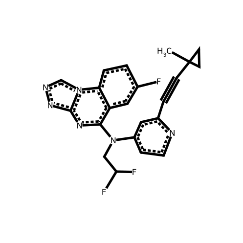 CC1(C#Cc2cc(N(CC(F)F)c3nc4nncn4c4ccc(F)cc34)ccn2)CC1